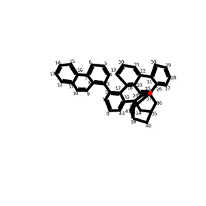 c1cc(-c2cccc3c2ccc2ccccc23)c(-c2cccc3c2ccc2ccccc23)c(C23CC4CC(CC(C4)C2)C3)c1